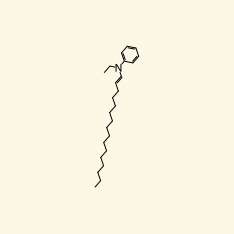 CCCCCCCCCCCCCCC=CN(CC)c1ccccc1